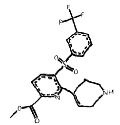 COC(=O)c1ccc(S(=O)(=O)c2cccc(C(F)(F)F)c2)c(C2=CCNCC2)n1